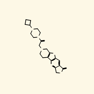 O=C1OCc2nc3c4c(oc3cc21)CN(CC(=O)N1CCN(C2CCC2)CC1)CC4